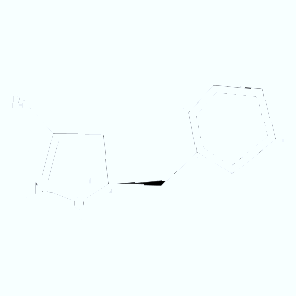 BrC1=NO[C@H](Cc2ccccc2)C1